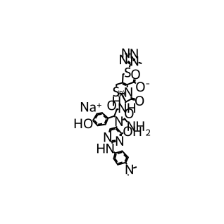 CN(C)c1ccc(Nc2ncc(N(C(N)=O)C(C(=O)NC3C(=O)N4C(C(=O)[O-])=C(CSc5nnnn5C)CS[C@H]34)c3ccc(O)cc3)c(O)n2)cc1.[Na+]